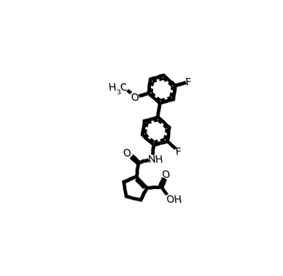 COc1ccc(F)cc1-c1ccc(NC(=O)C2=C(C(=O)O)CCC2)c(F)c1